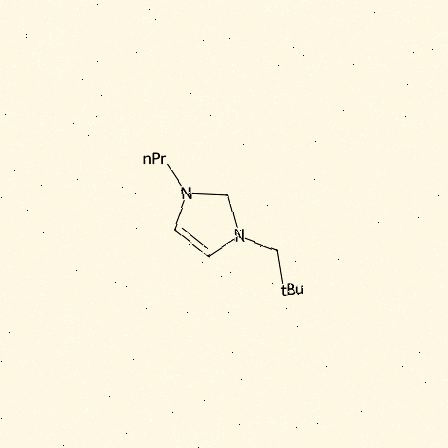 CCCN1C=CN(CC(C)(C)C)C1